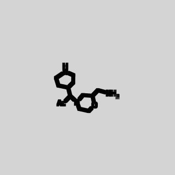 CC(=O)C(C1CCNCC1)N1CCOC(CN)C1